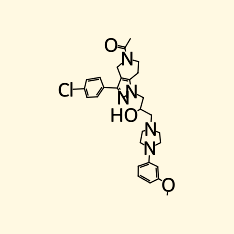 COc1cccc(N2CCN(CC(O)Cn3nc(-c4ccc(Cl)cc4)c4c3CCN(C(C)=O)C4)CC2)c1